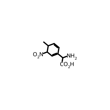 CC1C=CC(C(N)C(=O)O)=CC1[N+](=O)[O-]